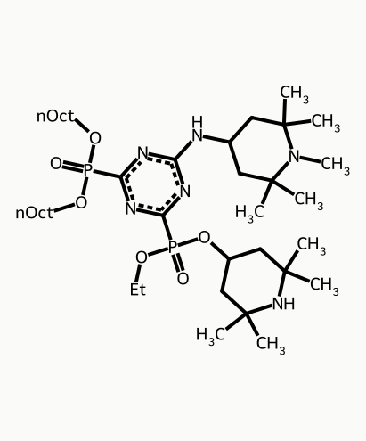 CCCCCCCCOP(=O)(OCCCCCCCC)c1nc(NC2CC(C)(C)N(C)C(C)(C)C2)nc(P(=O)(OCC)OC2CC(C)(C)NC(C)(C)C2)n1